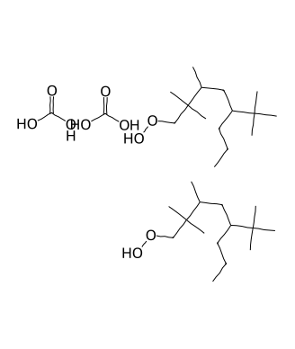 CCCC(CC(C)C(C)(C)COO)C(C)(C)C.CCCC(CC(C)C(C)(C)COO)C(C)(C)C.O=C(O)O.O=C(O)O